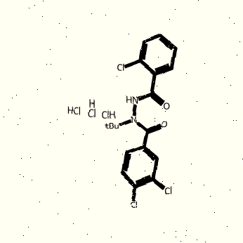 CC(C)(C)N(NC(=O)c1ccccc1Cl)C(=O)c1ccc(Cl)c(Cl)c1.Cl.Cl.Cl